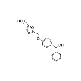 O=C(O)c1ccc(COc2ccc(C(O)c3ccccc3)cc2)o1